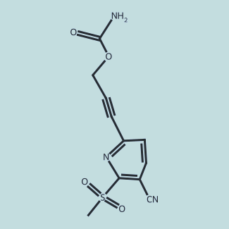 CS(=O)(=O)c1nc(C#CCOC(N)=O)ccc1C#N